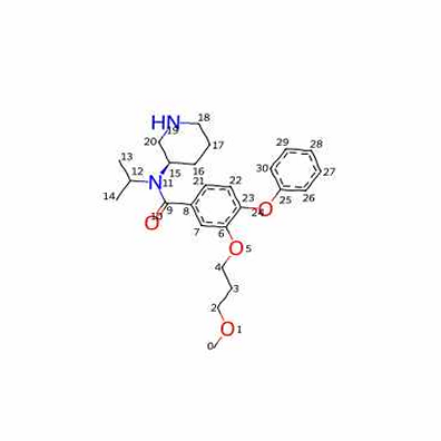 COCCCOc1cc(C(=O)N(C(C)C)[C@@H]2CCCNC2)ccc1Oc1ccccc1